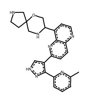 Cc1cccc(-c2n[nH]cc2-c2ccc3nccc(C4COC5(CCNC5)CN4)c3n2)n1